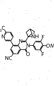 COc1c(F)cc(-n2c(C34CC(CN3)C4)nc3c(-c4ccc(C)nc4)cc(C#N)cc3c2=O)cc1F